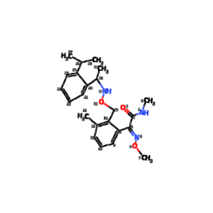 CNC(=O)/C(=N/OC)c1cccc(C)c1CONC(C)c1ccccc1C(C)C